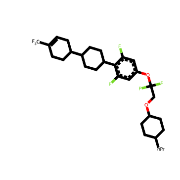 CCCC1CCC(OCC(F)(F)Oc2cc(F)c(C3CCC(C4CC=C(C(F)(F)F)CC4)CC3)c(F)c2)CC1